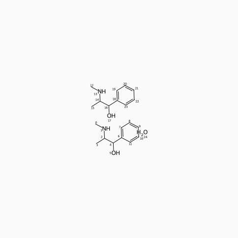 CNC(C)C(O)c1ccccc1.CNC(C)C(O)c1ccccc1.O